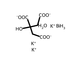 O.O=C([O-])CC(O)(CC(=O)[O-])C(=O)[O-].[BiH3].[K+].[K+].[K+]